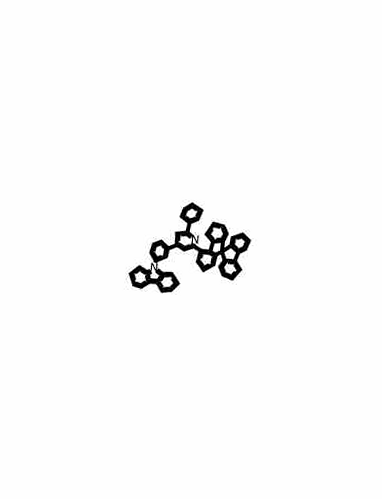 c1ccc(-c2cc(-c3cccc(-n4c5ccccc5c5ccccc54)c3)cc(-c3cccc4c3-c3ccccc3C43c4ccccc4-c4ccccc43)n2)cc1